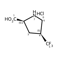 Cl.O=C(O)[C@@H]1C[C@H](C(F)(F)F)CN1